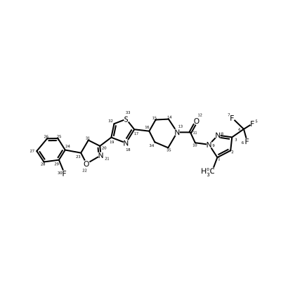 Cc1cc(C(F)(F)F)nn1CC(=O)N1CCC(c2nc(C3=NOC(c4[c]cccc4F)C3)cs2)CC1